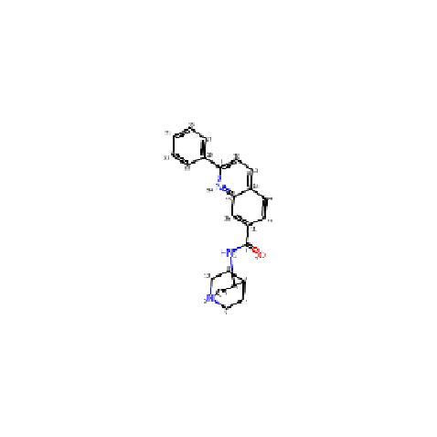 O=C(NC1CN2CCC1CC2)c1ccc2ccc(-c3ccccc3)nc2c1